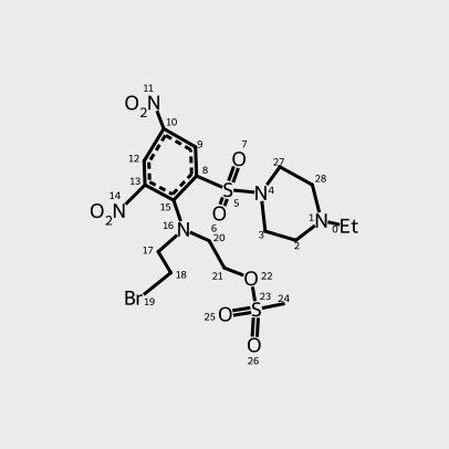 CCN1CCN(S(=O)(=O)c2cc([N+](=O)[O-])cc([N+](=O)[O-])c2N(CCBr)CCOS(C)(=O)=O)CC1